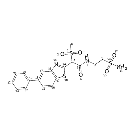 CS(=O)(=O)C(C(=O)NCCS(N)(=O)=O)c1nc2cc(-c3ccccc3)ccc2s1